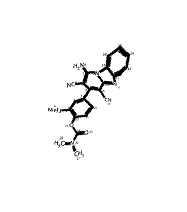 COc1cc(-c2c(C#N)c(N)n3c(nc4ccccc43)c2C#N)ccc1OC(=O)N(C)C